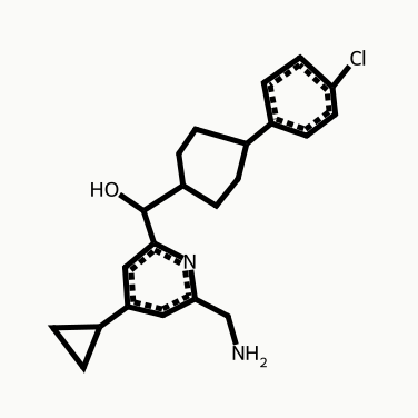 NCc1cc(C2CC2)cc(C(O)C2CCC(c3ccc(Cl)cc3)CC2)n1